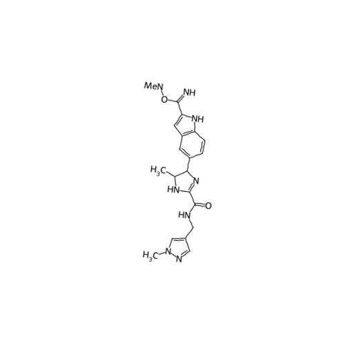 CNOC(=N)c1cc2cc(C3N=C(C(=O)NCc4cnn(C)c4)NC3C)ccc2[nH]1